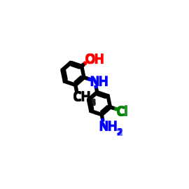 Cc1cccc(O)c1Nc1ccc(N)c(Cl)c1